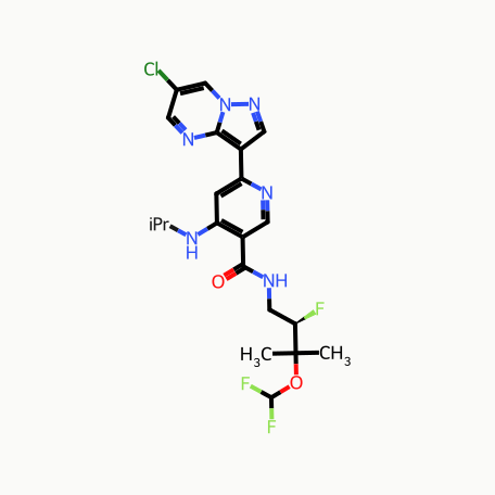 CC(C)Nc1cc(-c2cnn3cc(Cl)cnc23)ncc1C(=O)NC[C@@H](F)C(C)(C)OC(F)F